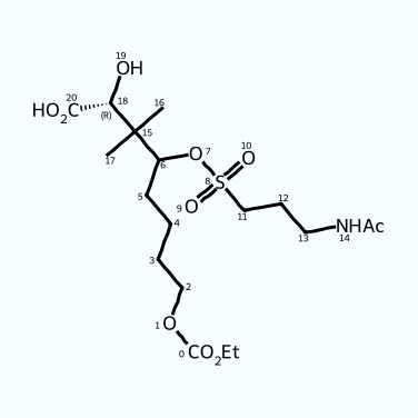 CCOC(=O)OCCCCC(OS(=O)(=O)CCCNC(C)=O)C(C)(C)[C@@H](O)C(=O)O